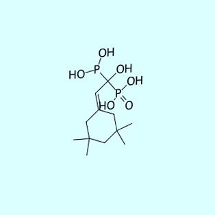 CC1(C)CC(=CC(O)(P(O)O)P(=O)(O)O)CC(C)(C)C1